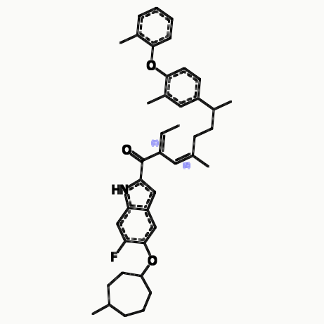 C/C=C(\C=C(\C)CCC(C)c1ccc(Oc2ccccc2C)c(C)c1)C(=O)c1cc2cc(OC3CCCC(C)CC3)c(F)cc2[nH]1